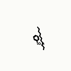 CCCCCCCCCCC.O=S(=O)(O)c1ccccc1